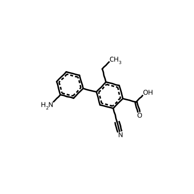 CCc1cc(C(=O)O)c(C#N)cc1-c1cccc(N)c1